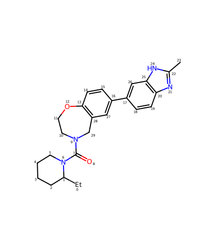 CCC1CCCCN1C(=O)N1CCOc2ccc(-c3ccc4nc(C)[nH]c4c3)cc2C1